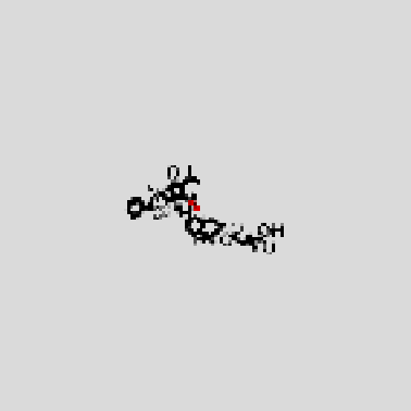 CCC[C@@H]1[C@@]2(C)CC[C@H](OC(=O)CC(C)(C)C(=O)O)C(C)(C)[C@@H]2CC[C@@]1(C)[C@]1(C)CC[C@@]2([C@@H](O)CN(C)C(=O)C3CCCCC3)CC(=O)C(C(C)C)=C2C1